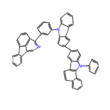 c1ccc(-n2c3ccc(-c4ccc5c(c4)c4ccccc4n5-c4cccc(-c5ncc6c7c(cccc57)-c5ccccc5-6)c4)cc3c3ccc4ccccc4c32)cc1